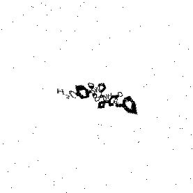 Cc1ccc(S(=O)(=O)N2CCC[C@@H]2C(=O)NC2(C3CC(=O)N(Cc4ccccc4)C3)CCC2)cc1